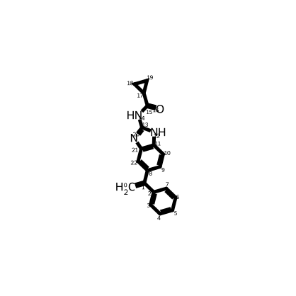 C=C(c1ccccc1)c1ccc2[nH]c(NC(=O)C3CC3)nc2c1